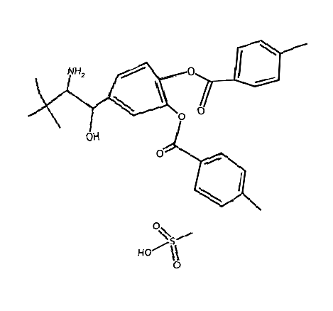 CS(=O)(=O)O.Cc1ccc(C(=O)Oc2ccc(C(O)C(N)C(C)(C)C)cc2OC(=O)c2ccc(C)cc2)cc1